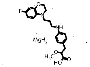 COC(Cc1ccc(NCCCN2CCOc3cc(F)ccc32)cc1)C(=O)O.[MgH2]